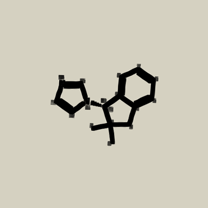 CC1(C)Cc2ccccc2[C@H]1n1ccnc1